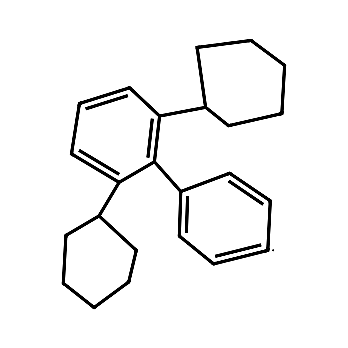 [c]1ccc(-c2c(C3CCCCC3)cccc2C2CCCCC2)cc1